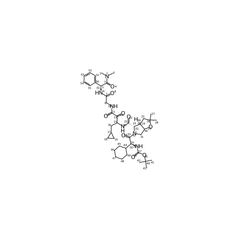 CN(C)C(=O)[C@@H](NC(=O)CNC(=O)C(=O)C(CC1CC1)NC(=O)[C@@H]1[C@H]2CC(C)(C)OC2CN1C(=O)[C@@H](NC(=O)OC(C)(C)C)C1CCCCC1)c1ccccc1